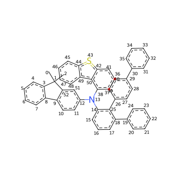 CC1(C)c2ccccc2-c2ccc(N(c3cccc(-c4ccccc4)c3-c3ccc(-c4ccccc4)cc3)c3cccc4sc5ccccc5c34)cc21